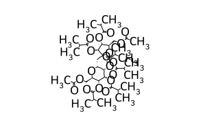 CC(=O)OC[C@H]1O[C@@](COC(=O)C(C)C)(C[C@H]2O[C@H](COC(C)=O)[C@@H](OC(=O)C(C)C)[C@H](OC(=O)C(C)C)[C@H]2OC(=O)C(C)C)[C@@H](OC(=O)C(C)C)[C@@H]1OC(=O)C(C)C